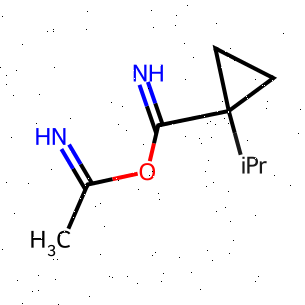 CC(=N)OC(=N)C1(C(C)C)CC1